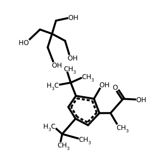 CC(C(=O)O)c1cc(C(C)(C)C)cc(C(C)(C)C)c1O.OCC(CO)(CO)CO